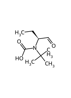 CC[C@@H](C=O)N(C(=O)O)C(C)(C)C